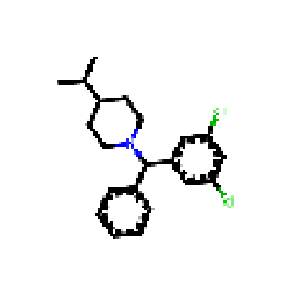 CC(C)C1CCN(C(c2ccccc2)c2cc(Cl)cc(Cl)c2)CC1